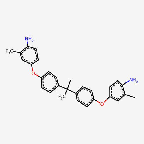 Cc1cc(Oc2ccc(C(C)(c3ccc(Oc4ccc(N)c(C(F)(F)F)c4)cc3)C(F)(F)F)cc2)ccc1N